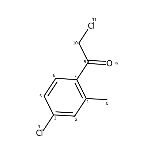 Cc1cc(Cl)ccc1C(=O)CCl